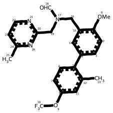 COc1ccc(-c2ccc(OC(F)(F)F)cc2C)cc1CN(C=O)Cc1nccc(C)n1